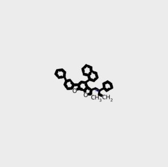 C=C/C(=C\c1c(C)oc2c1c(-c1cccc3ccccc13)cc1c3cc(-c4ccccc4)ccc3oc12)c1ccccc1